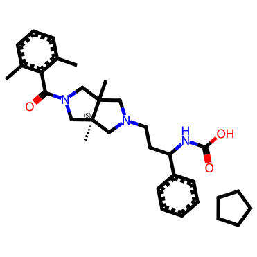 C1CCCC1.Cc1cccc(C)c1C(=O)N1CC2(C)CN(CCC(NC(=O)O)c3ccccc3)C[C@@]2(C)C1